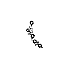 Cc1ccc(S(=O)(=O)c2ccc(Oc3cccc(NC(=O)C4CCCN4C(=O)OCc4ccccc4)c3)cc2)cc1